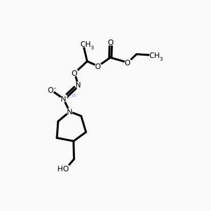 CCOC(=O)OC(C)O/N=[N+](\[O-])N1CCC(CO)CC1